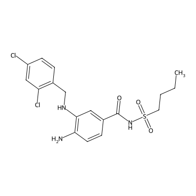 CCCCS(=O)(=O)NC(=O)c1ccc(N)c(NCc2ccc(Cl)cc2Cl)c1